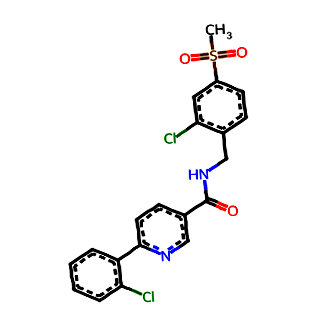 CS(=O)(=O)c1ccc(CNC(=O)c2ccc(-c3ccccc3Cl)nc2)c(Cl)c1